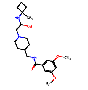 COc1cc(OC)cc(C(=O)NCC2CCN(CC(O)NC3(C)CCC3)CC2)c1